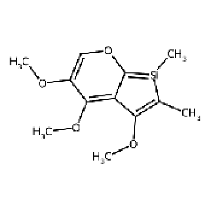 COc1coc2[si](C)c(C)c(OC)c-2c1OC